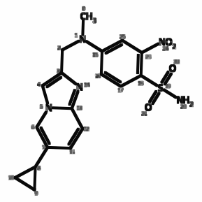 CN(Cc1cn2cc(C3CC3)ccc2n1)c1ccc(S(N)(=O)=O)c([N+](=O)[O-])c1